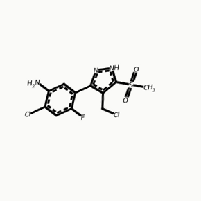 CS(=O)(=O)c1[nH]nc(-c2cc(N)c(Cl)cc2F)c1CCl